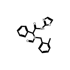 Cc1ccccc1CN(C=O)C(C(=O)Nc1ncco1)c1ccccc1